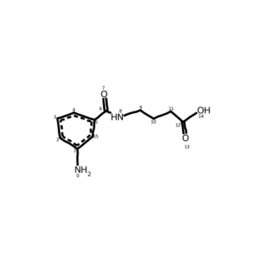 Nc1cccc(C(=O)NCCCC(=O)O)c1